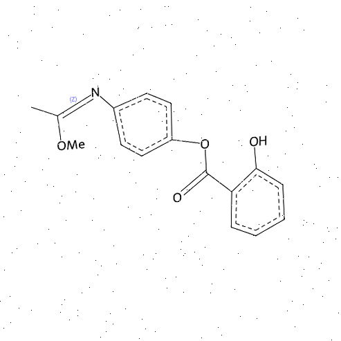 CO/C(C)=N\c1ccc(OC(=O)c2ccccc2O)cc1